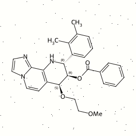 COCCO[C@H]1c2ccn3ccnc3c2N[C@H](c2cccc(C)c2C)[C@H]1OC(=O)c1ccccc1